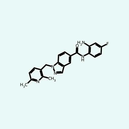 Cc1ccc(Cn2ncc3cc(C(=O)Nc4ccc(F)cc4N)ccc32)c(C)n1